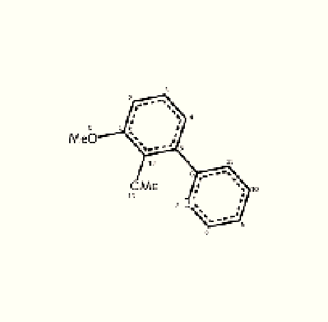 COc1cccc(-c2bcccc2)c1OC